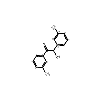 Cc1cccc(C(=O)C(O)c2cccc(C)c2)c1